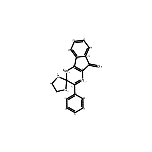 O=C1C2=C(NC3(OCCO3)C(c3ccccc3)=N2)c2ccccc21